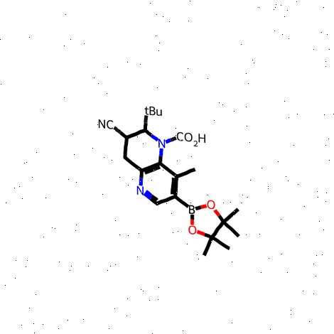 Cc1c(B2OC(C)(C)C(C)(C)O2)cnc2c1N(C(=O)O)C(C(C)(C)C)C(C#N)C2